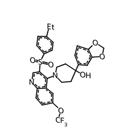 CCc1ccc(S(=O)(=O)c2cnc3ccc(OC(F)(F)F)cc3c2N2CCC(O)(c3ccc4c(c3)OCO4)CC2)cc1